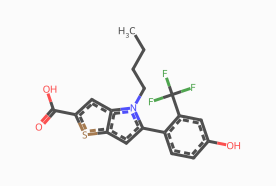 CCCCn1c(-c2ccc(O)cc2C(F)(F)F)cc2sc(C(=O)O)cc21